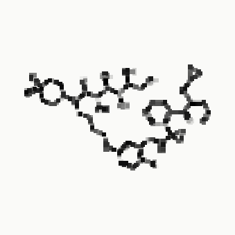 O=C([C@@H](O)[C@@H](O)[C@H](O)[C@@H](O)CO)N(CCCCSc1ccc(Cl)c(CNC2(c3cnccc3-c3ccccc3OC3CC3)CC2)c1)C1CCS(=O)(=O)CC1